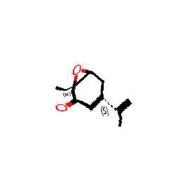 C=C(C)[C@@H]1CC(=O)[C@]2(C)OC2C1